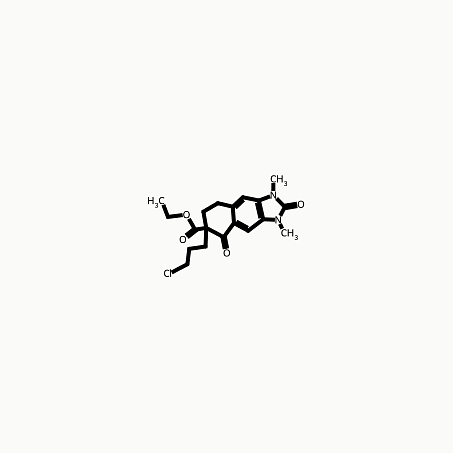 CCOC(=O)C1(CCCCl)CCc2cc3c(cc2C1=O)n(C)c(=O)n3C